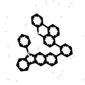 c1ccc(-n2c3ccccc3c3cc4ccc(-c5ccccc5-c5ccc6c7c(cccc57)-c5ccccc5S6)cc4cc32)cc1